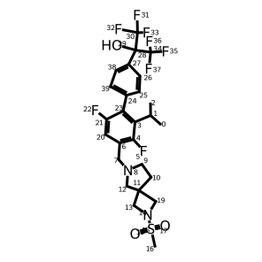 CC(C)c1c(F)c(CN2CCC3(C2)CN(S(C)(=O)=O)C3)cc(F)c1-c1ccc(C(O)(C(F)(F)F)C(F)(F)F)cc1